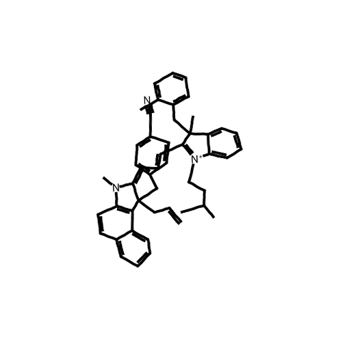 C=CCC1(Cc2ccc(C#N)cc2)/C(=C\C=C\C2=[N+](CCC(C)C)c3ccccc3C2(C)Cc2ccccc2C)N(C)c2ccc3ccccc3c21